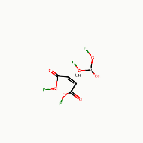 O=C(/C=C\C(=O)OF)OF.OB(OF)OF.[LiH]